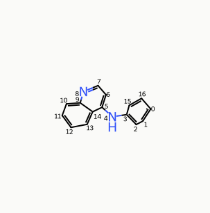 [c]1ccc(Nc2ccnc3ccccc23)cc1